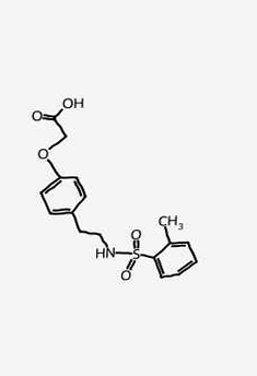 Cc1ccccc1S(=O)(=O)NCCc1ccc(OCC(=O)O)cc1